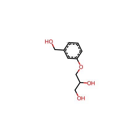 OCc1[c]ccc(OCC(O)CO)c1